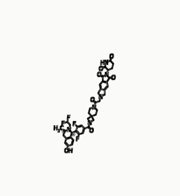 C[C@@H]1Cc2cc(O)ccc2[C@H](c2c(F)cc(C(=O)N3CC4(CCN(C(=O)CN5Cc6cc7c(cc6C5)C(=O)N(C5CCC(=O)NC5=O)C7=O)CC4)C3)cc2F)N1CC(F)F